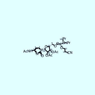 CC(=O)Nc1ccn([C@@H]2O[C@H](COOP(OCCC#N)N(C(C)C)C(C)C)[C@@H](OC(C)=O)[C@H]2OC(C)=O)c(=O)n1